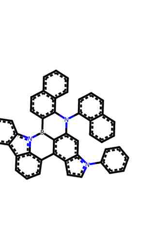 c1ccc(-n2ccc3c4c5c(cc32)N(c2cccc3ccccc23)c2c(ccc3ccccc23)B5n2c3ccccc3c3cccc-4c32)cc1